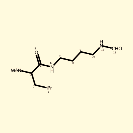 CNC(CC(C)C)C(=O)NCCCCNC=O